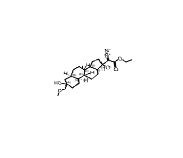 CCOC(=O)C(=[N+]=[N-])C1(O)CC[C@H]2[C@@H]3CC[C@@H]4C[C@@](O)(COC)CC[C@@H]4[C@H]3CC[C@@]21C